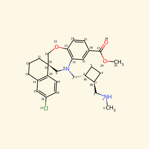 CNC[C@@H]1CC[C@H]1CN1C[C@@]2(CCCc3cc(Cl)ccc32)COc2ccc(C(=O)OC)cc21